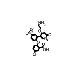 Cn1cc(-c2cc([N+](=O)[O-])ccc2Oc2ccc(Cl)cc2C(=O)O)c(OCCN)cc1=O